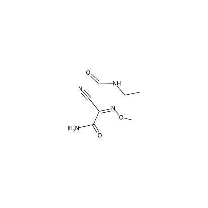 CCNC=O.CON=C(C#N)C(N)=O